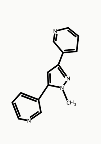 Cn1nc(-c2cccnc2)cc1-c1cccnc1